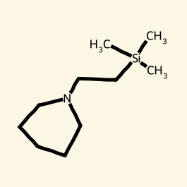 C[Si](C)(C)CCN1CCCCC1